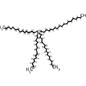 CCCCCCCCCCCCCCCCCCC[N+](CCCCCCCCCCCCCCC)(CCCCCCCCCCCCCCC)CCCCCCCCCCCCCCC